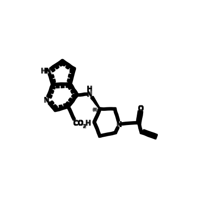 C=CC(=O)N1CCC[C@@H](Nc2c(C(=O)O)cnc3[nH]ccc23)C1